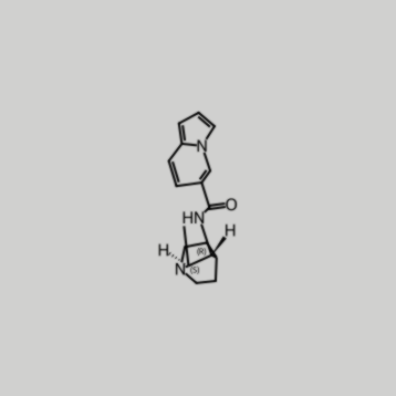 C[C@H]1[C@H](NC(=O)c2ccc3cccn3c2)C2CCN1CC2